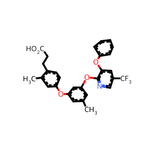 Cc1cc(Oc2ccc(CCC(=O)O)c(C)c2)cc(Oc2ncc(C(F)(F)F)cc2Oc2ccccc2)c1